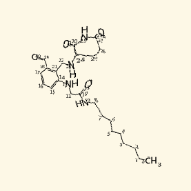 CCCCCCCCCNC(=O)CNc1cccc(C=O)c1CNC1CCC(=O)NC1=O